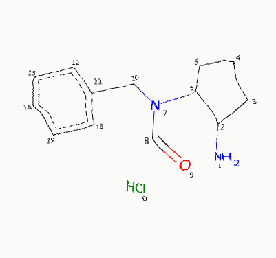 Cl.NC1CCCC1N(C=O)Cc1ccccc1